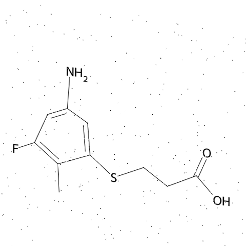 Cc1c(F)cc(N)cc1SCCC(=O)O